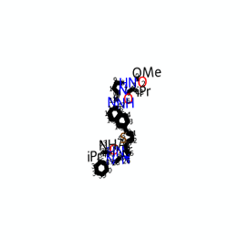 COC(=O)NC(C(=O)N1CCC[C@H]1c1nc2ccc3cc(-c4ccc(-c5cnc(CN(C(=O)C(NC(C)=O)C(C)C)C6CCCCC6)[nH]5)s4)ccc3c2[nH]1)C(C)C